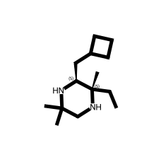 CC[C@]1(C)NCC(C)(C)N[C@H]1CC1CCC1